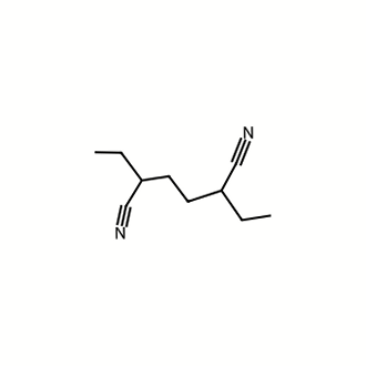 CCC(C#N)CCC(C#N)CC